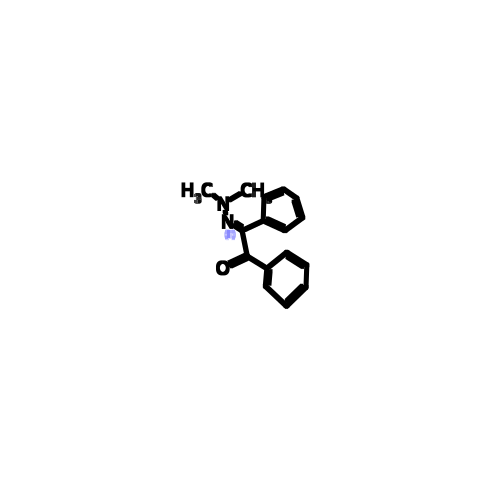 CN(C)/N=C(/C(=O)c1ccccc1)c1ccccc1